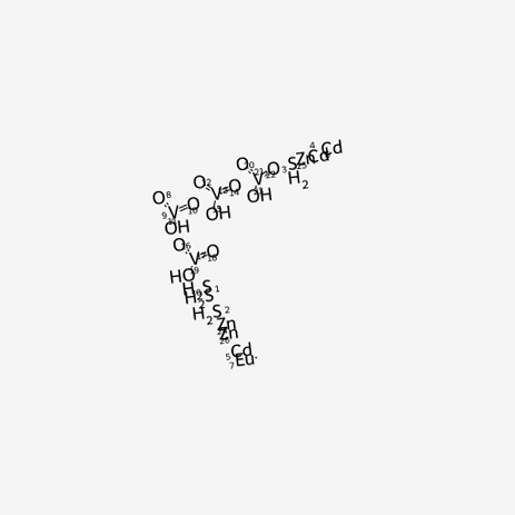 S.S.S.S.[Cd].[Cd].[Cd].[Eu].[O]=[V](=[O])[OH].[O]=[V](=[O])[OH].[O]=[V](=[O])[OH].[O]=[V](=[O])[OH].[Zn].[Zn].[Zn]